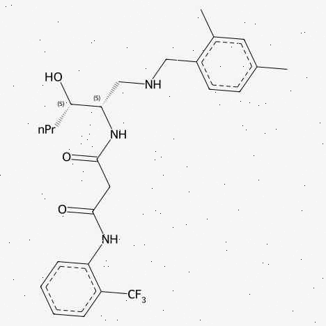 CCC[C@H](O)[C@H](CNCc1ccc(C)cc1C)NC(=O)CC(=O)Nc1ccccc1C(F)(F)F